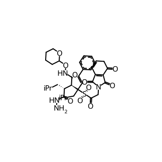 CC(C)C[C@@H](C(=O)NN)[C@@H](C(=O)NOC1CCCCO1)C(/C=C/c1ccccc1)(CC(C)C)S(=O)(=O)C(=O)CN1C(=O)C2=C(C(=O)CC=C2)C1=O